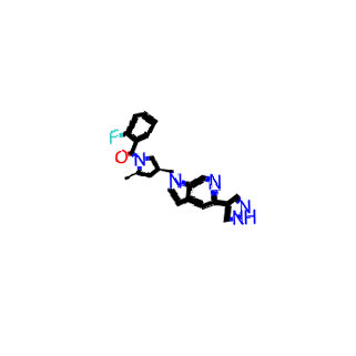 C[C@@H]1C[C@H](Cn2ccc3cc(-c4cn[nH]c4)ncc32)CN1C(=O)c1ccccc1F